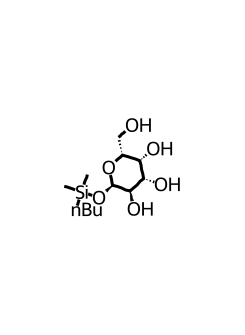 CCCC[Si](C)(C)O[C@H]1O[C@H](CO)[C@H](O)[C@H](O)[C@H]1O